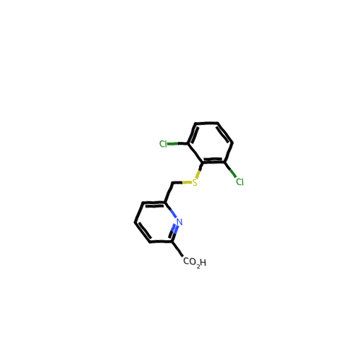 O=C(O)c1cccc(CSc2c(Cl)cccc2Cl)n1